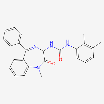 Cc1cccc(NC(=O)NC2N=C(c3ccccc3)c3ccccc3N(C)C2=O)c1C